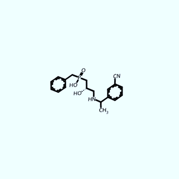 CC(NC[C@H](O)CP(=O)(O)Cc1ccccc1)c1cccc(C#N)c1